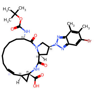 Cc1c(Br)cc2nn([C@H]3C[C@H]4C(=O)N[C@]5(C(=O)O)C[C@H]5/C=C\CCCCC[C@H](NC(=O)OC(C)(C)C)C(=O)N4C3)nc2c1C